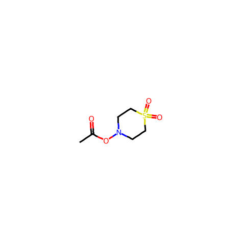 CC(=O)ON1CCS(=O)(=O)CC1